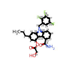 CCCc1cc(OC(=O)CO)c2c3c(C(N)=O)cccc3n(Cc3cc(F)cc(F)c3F)c2c1